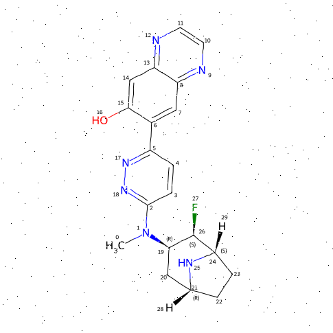 CN(c1ccc(-c2cc3nccnc3cc2O)nn1)[C@@H]1C[C@H]2CC[C@H](N2)[C@@H]1F